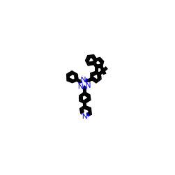 CC1(C)c2ccc(-c3nc(-c4ccccc4)nc(-c4ccc(-c5ccncc5)cc4)n3)cc2-c2c1ccc1ccccc21